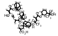 C=C(CC1(CC)C2CC3CC(C2)CC1C3)C(=O)O.CC(=C=O)C(=O)OC1C2CC3COC1C3O2.CC(=CC(O)(C(F)(F)F)C(F)(F)F)C(=O)OC1CCCC(C(O)(C(F)(F)F)C(F)(F)F)C1.CC(=CO)C(=O)OC12CC3CC(CC(C3)C1)C2